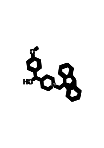 COc1ccc(C(O)C2CCN(CC34CC(c5ccccc53)c3ccccc34)CC2)cc1